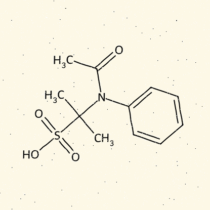 CC(=O)N(c1ccccc1)C(C)(C)S(=O)(=O)O